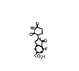 O=C1CCC(N2Cc3cc(C(=O)O)cc(F)c3C2=O)C(=O)N1